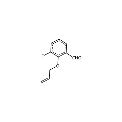 C=CCOc1c(F)cccc1C=O